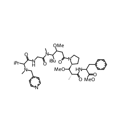 CCC(C)C(C(CC(=O)N1CCC[C@H]1C(OC)[C@@H](C)C(=O)NC(Cc1ccccc1)C(=O)OC)OC)N(C)C(=O)CNC(=O)C(C(C)C)N(C)Cc1ccncc1